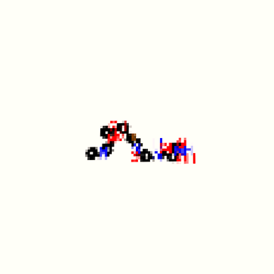 O=C(c1ccc(CNCC(O)c2ccc(O)c3[nH]c(=O)ccc23)cc1)N1CCc2sc(-c3cccc(C(O)(C(=O)OCC4CCN(Cc5ccccc5)CC4)c4ccccc4)c3)cc2C1